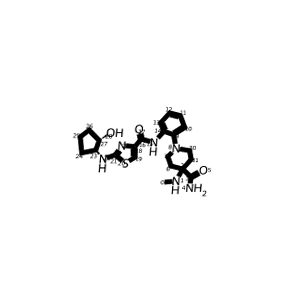 CNC1(C(N)=O)CCN(c2ccccc2NC(=O)c2csc(N[C@@H]3CCC[C@@H]3O)n2)CC1